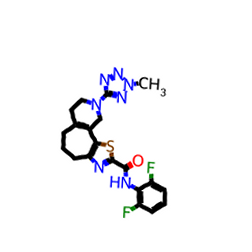 Cn1nnc(N2CCC3=C(C2)c2sc(C(=O)Nc4c(F)cccc4F)nc2CCC3)n1